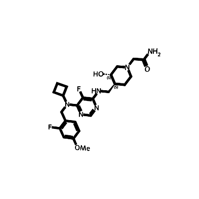 COc1ccc(CN(c2ncnc(NC[C@@H]3CCN(CC(N)=O)C[C@H]3O)c2F)C2CCC2)c(F)c1